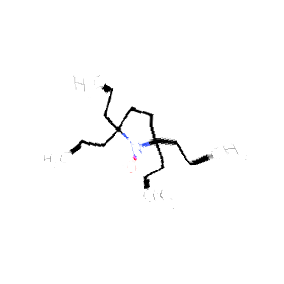 C=CCC1(CC=C)CCC(CC=C)(CC=C)N1[O]